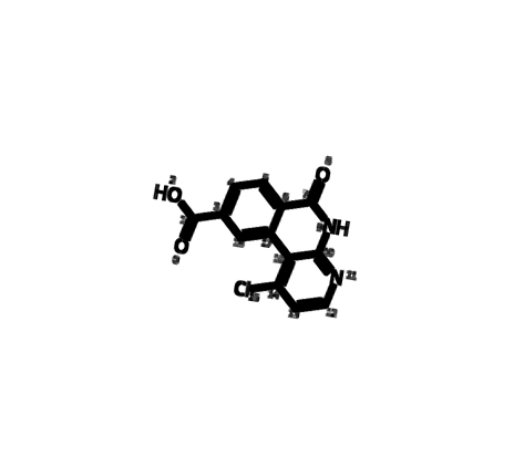 O=C(O)c1ccc2c(=O)[nH]c3nccc(Cl)c3c2c1